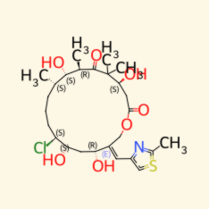 Cc1nc(/C=C2\COC(=O)C[C@H](O)C(C)(C)C(=O)[C@H](C)[C@@H](O)[C@@H](C)CCC[C@H](Cl)[C@@H](O)C[C@H]2O)cs1